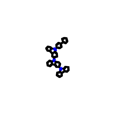 c1ccc(-c2ccc(-n3c4ccccc4c4cc(-n5c6ccccc6c6cc(-n7c8ccccc8c8ccccc87)ccc65)ccc43)cc2)cc1